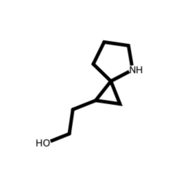 OCCC1CC12CCCN2